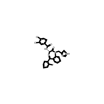 O=C(N[C@H]1N=C(c2ccccc2F)c2ccccc2N(Cc2c[nH]cn2)C1=O)c1ccc(Cl)c(Cl)c1